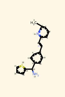 Cc1cccc(/C=C/c2ccc(C(N)c3cccs3)cc2)n1